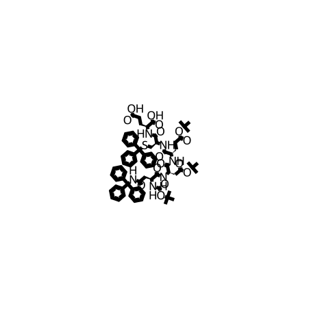 CC(C)(C)OC(=O)CC[C@H](NC(=O)[C@H](CC(=O)OC(C)(C)C)NC(=O)[C@H](CC(=O)NC(c1ccccc1)(c1ccccc1)c1ccccc1)NC(=O)OC(C)(C)C)C(=O)N[C@@H](CSC(c1ccccc1)(c1ccccc1)c1ccccc1)C(=O)N[C@@H](CCC(=O)O)C(=O)O